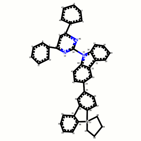 c1ccc(-c2cc(-c3ccccc3)nc(-n3c4ccccc4c4cc(-c5ccc6c(c5)-c5ccccc5[Si]65CCCC5)ccc43)n2)cc1